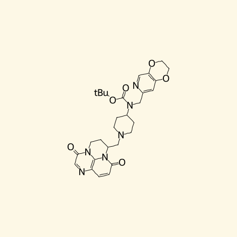 CC(C)(C)OC(=O)N(Cc1cc2c(cn1)OCCO2)C1CCN(CC2CCn3c(=O)cnc4ccc(=O)n2c43)CC1